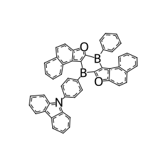 c1ccc(B2c3oc4ccc5ccccc5c4c3B(c3ccc(-n4c5ccccc5c5ccccc54)cc3)c3oc4ccc5ccccc5c4c32)cc1